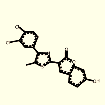 Cc1sc(-c2cc3ccc(O)cc3oc2=O)nc1-c1ccc(Cl)c(Cl)c1